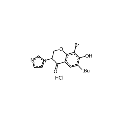 CC(C)(C)c1cc2c(c(Br)c1O)OCC(n1ccnc1)C2=O.Cl